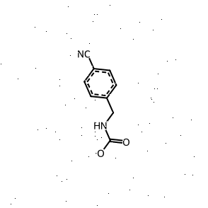 N#Cc1ccc(CNC([O])=O)cc1